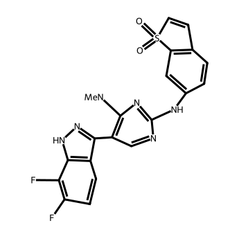 CNc1nc(Nc2ccc3c(c2)S(=O)(=O)C=C3)ncc1-c1n[nH]c2c(F)c(F)ccc12